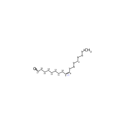 CCCCCCCC/C=C\CCCCCCC[C]=O